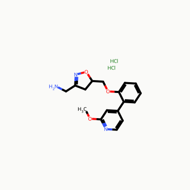 COc1cc(-c2ccccc2OCC2CC(CN)=NO2)ccn1.Cl.Cl